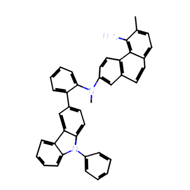 Cc1ccc2ccc3cc(N(C)c4ccccc4-c4ccc5c(c4)c4ccccc4n5-c4ccccc4)ccc3c2c1N